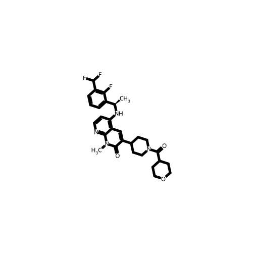 C[C@@H](Nc1ccnc2c1cc(C1CCN(C(=O)C3CCOCC3)CC1)c(=O)n2C)c1cccc(C(F)F)c1F